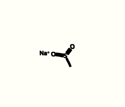 C[S-](=O)=O.[Na+]